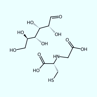 O=C(O)CN[C@H](CS)C(=O)O.O=C[C@H](O)[C@@H](O)[C@H](O)[C@H](O)CO